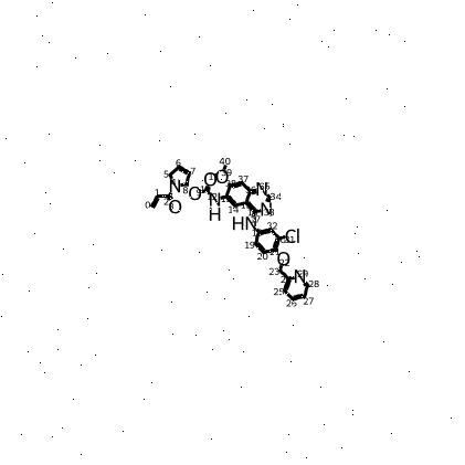 C=CC(=O)N1CC=C[C@@H]1OC(=O)Nc1cc2c(Nc3ccc(OCc4ccccn4)c(Cl)c3)ncnc2cc1OC